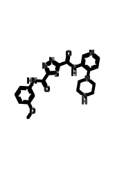 COc1cccc(NC(=O)c2nnc(C(=O)Nc3cnccc3N3CCNCC3)s2)c1